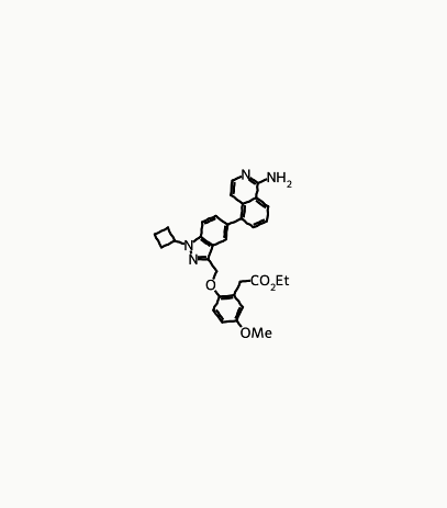 CCOC(=O)Cc1cc(OC)ccc1OCc1nn(C2CCC2)c2ccc(-c3cccc4c(N)nccc34)cc12